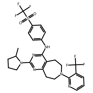 CC1CCCN1c1nc2c(c(Nc3ccc(S(=O)(=O)C(F)(F)F)cc3)n1)CCN(c1ncccc1C(F)(F)F)CC2